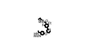 CCc1cc(-c2cc(Oc3ccc(C(C)=N)c(NC)c3)ccn2)cc(F)c1C(=O)NC[C@@H]1CCN1C